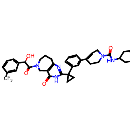 O=C(NC1CCCCC1)N1CC=C(c2cccc(C3(c4nc5c(c(=O)[nH]4)CN(C(=O)[C@H](O)c4cccc(C(F)(F)F)c4)CCC5)CC3)c2)CC1